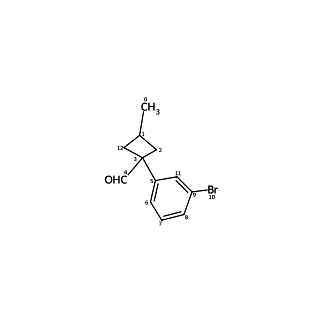 CC1CC(C=O)(c2cccc(Br)c2)C1